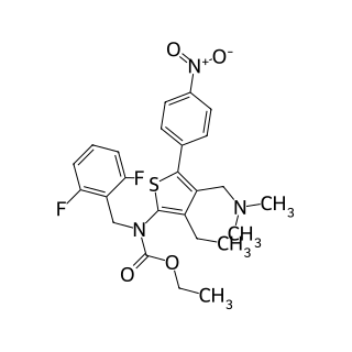 CCOC(=O)N(Cc1c(F)cccc1F)c1sc(-c2ccc([N+](=O)[O-])cc2)c(CN(C)C)c1CC